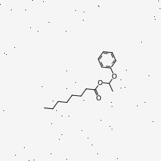 CCCCCCCC(=O)OC(C)Oc1ccccc1